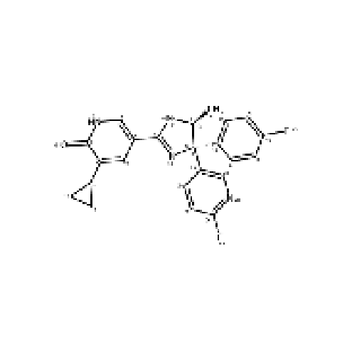 C[C@@H]1NC(c2c[nH]c(=O)c(C3CC3)c2)=N[C@]1(c1ccc(F)cc1)c1ccc(F)nc1